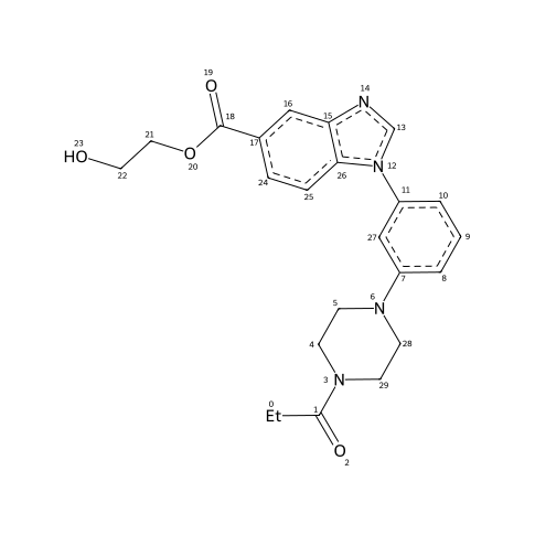 CCC(=O)N1CCN(c2cccc(-n3cnc4cc(C(=O)OCCO)ccc43)c2)CC1